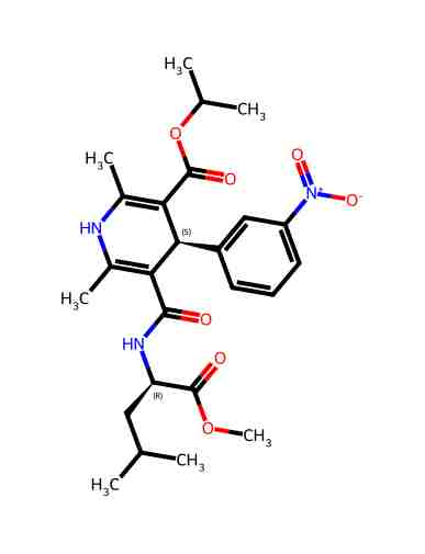 COC(=O)[C@@H](CC(C)C)NC(=O)C1=C(C)NC(C)=C(C(=O)OC(C)C)[C@H]1c1cccc([N+](=O)[O-])c1